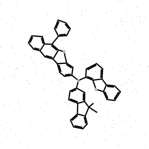 CC1(C)c2ccccc2-c2ccc(N(c3ccc4c(c3)oc3c(-c5ccccc5)c5ccccc5cc34)c3cccc4c3oc3ccccc34)cc21